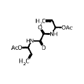 C=CC(NC(=O)C(=O)NC(C=C)OC(C)=O)OC(C)=O